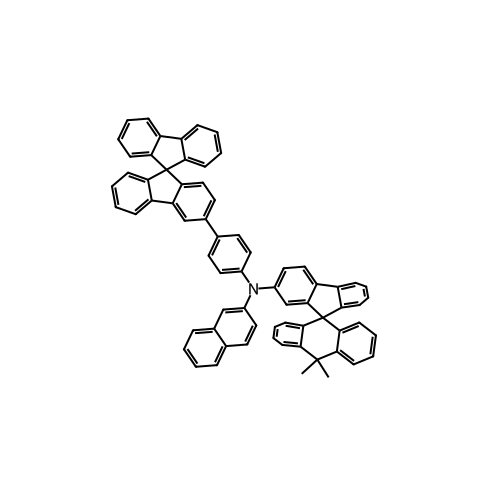 CC1(C)c2ccccc2C2(c3ccccc3-c3ccc(N(c4ccc(-c5ccc6c(c5)-c5ccccc5C65c6ccccc6-c6ccccc65)cc4)c4ccc5ccccc5c4)cc32)c2ccccc21